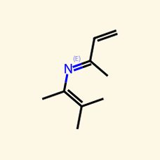 C=C/C(C)=N/C(C)=C(C)C